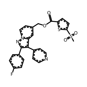 CS(=O)(=O)c1ccc(C(=O)OCc2ccn3nc(-c4ccc(F)cc4)c(-c4ccncc4)c3c2)s1